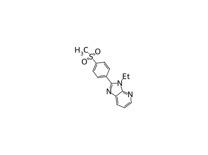 CCn1c(-c2ccc(S(C)(=O)=O)cc2)nc2cccnc21